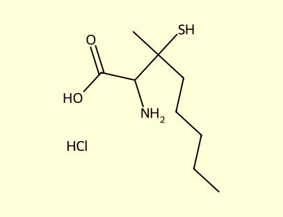 CCCCCC(C)(S)C(N)C(=O)O.Cl